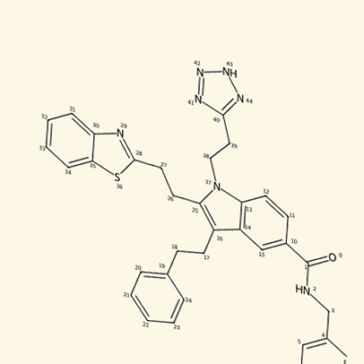 O=C(NCc1ccccc1)c1ccc2c(c1)c(CCc1ccccc1)c(CCc1nc3ccccc3s1)n2CCc1nn[nH]n1